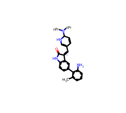 CCCN(CCC)C1C=CC(/C=C2\C(=O)Nc3ccc(-c4c(C)cccc4N)cc32)=CN1